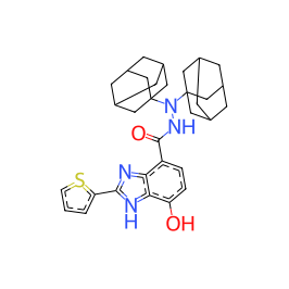 O=C(NN(C12CC3CC(CC(C3)C1)C2)C12CC3CC(CC(C3)C1)C2)c1ccc(O)c2[nH]c(-c3cccs3)nc12